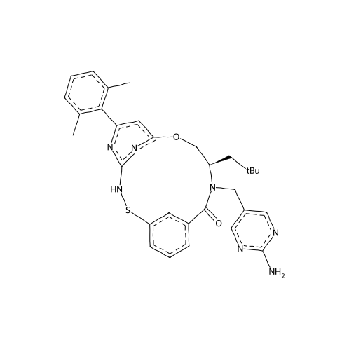 Cc1cccc(C)c1-c1cc2nc(n1)NSc1cccc(c1)C(=O)N(Cc1cnc(N)nc1)[C@H](CC(C)(C)C)CO2